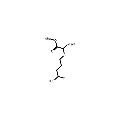 CCCCCC(SCCCC(C)F)C(=O)OC(C)(C)C